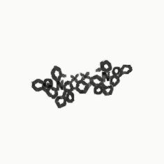 Cc1ccccc1N(c1cccc2c1oc1ccccc12)c1cc2c(c3oc4ccccc4c13)-c1ccc3c(c1C2(C)C)C(C)(C)c1cc(N(c2ccccc2C)c2cccc4c2oc2ccccc24)c2c(oc4ccccc42)c1-3